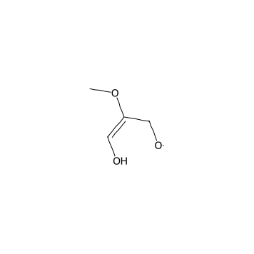 COC(=CO)C[O]